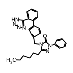 CCCCCCc1nn(-c2ccccc2)c(=O)n1Cc1ccc(-c2ccccc2-c2nnn[nH]2)cc1